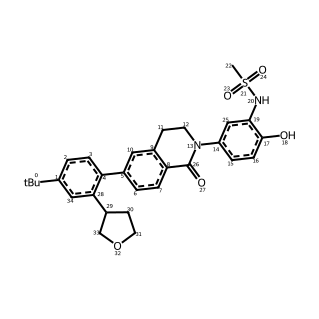 CC(C)(C)c1ccc(-c2ccc3c(c2)CCN(c2ccc(O)c(NS(C)(=O)=O)c2)C3=O)c(C2CCOC2)c1